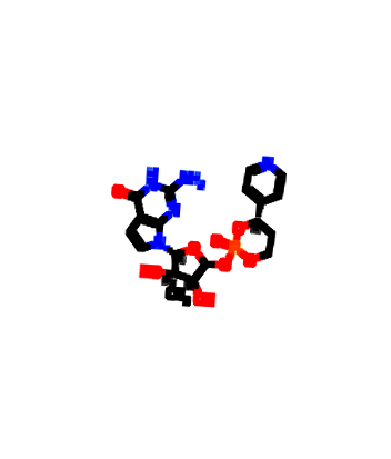 C[C@@]1(O)[C@H](O)C(OP2(=O)OCC[C@@H](c3ccncc3)O2)O[C@H]1n1ccc2c(=O)[nH]c(N)nc21